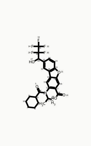 CC(C)N(C(=O)C1CCCCC1)c1cc2c(cc1C(=O)O)oc1ccc(C(O)C(F)(F)C(F)(F)F)cc12